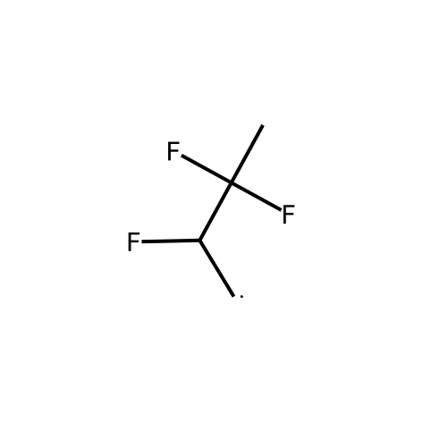 [CH2]C(F)C(C)(F)F